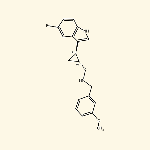 COc1cccc(CNC[C@@H]2C[C@H]2c2c[nH]c3ccc(F)cc23)c1